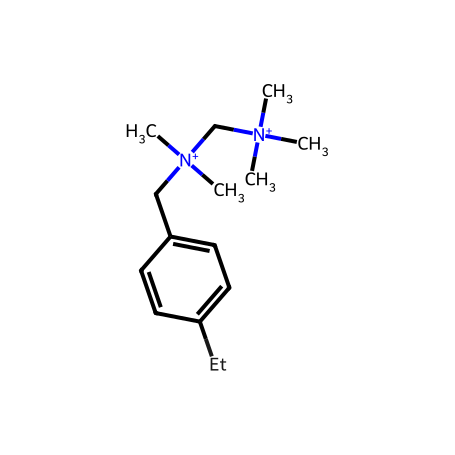 CCc1ccc(C[N+](C)(C)C[N+](C)(C)C)cc1